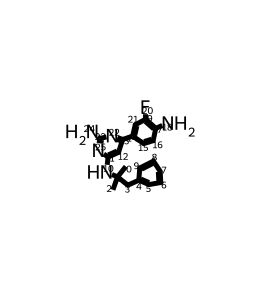 CC(C)(Cc1ccccc1)Nc1cc(-c2ccc(N)c(F)c2)nc(N)n1